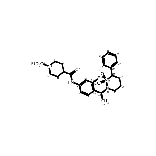 CCOC(=O)N1CCC(C(=O)Nc2ccc(C(C)N3CCCC(c4ccccc4)S3(=O)=O)c(F)c2)CC1